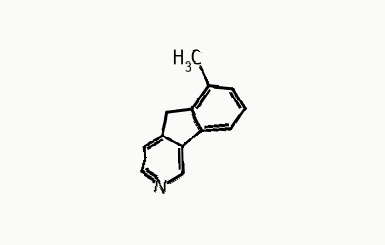 Cc1cccc2c1Cc1ccncc1-2